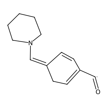 O=[C]C1=CCC(=CN2CCCCC2)C=C1